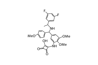 COc1ccc(C(NC(C)c2cc(F)cc(F)c2)c2cc(Nc3c(O)c(=O)c3=O)c(OC)c(OC)c2)cc1